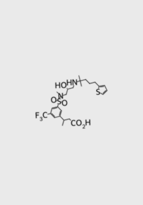 CC(CC(=O)O)c1cc(C(F)(F)F)cc(S(=O)(=O)N(C)C[C@H](O)CNC(C)(C)CCCc2cccs2)c1